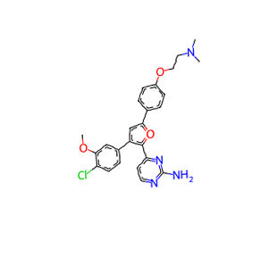 COc1cc(-c2cc(-c3ccc(OCCN(C)C)cc3)oc2-c2ccnc(N)n2)ccc1Cl